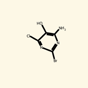 Nc1nc(Br)nc(Cl)c1O